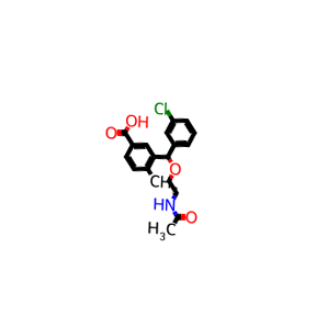 CC(=O)NCCOC(c1cccc(Cl)c1)c1cc(C(=O)O)ccc1C